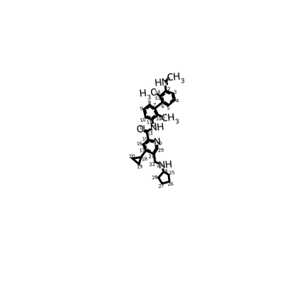 CNc1cccc(-c2cccc(NC(=O)c3cc(C4CC4)c(CNC4CCCC4)cn3)c2C)c1C